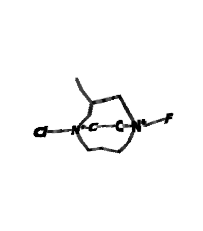 CC1C[N+]2(F)CC[N+]1(Cl)CC2